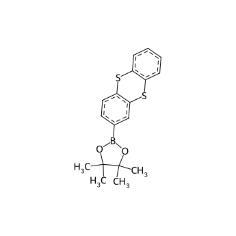 CC1(C)OB(c2ccc3c(c2)Sc2ccccc2S3)OC1(C)C